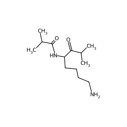 CC(C)C(=O)NC(CCCCN)C(=O)C(C)C